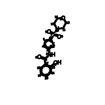 O=C(Nc1ccc(S(=O)(=O)N2CCOCC2)s1)c1ccccc1O